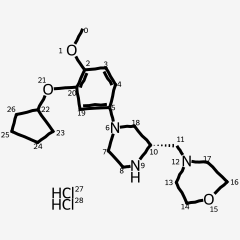 COc1ccc(N2CCN[C@@H](CN3CCOCC3)C2)cc1OC1CCCC1.Cl.Cl